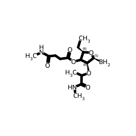 B[C@@H]1O[C@H](CC)C(OC(=O)CCC(=O)NC)[C@@H]1OC(C)C(=O)NC